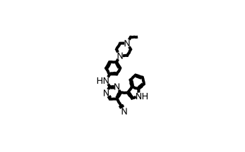 CCN1CCN(c2ccc(Nc3ncc(C#N)c(-c4c[nH]c5ccccc45)n3)cc2)CC1